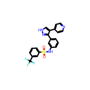 O=S(=O)(Nc1cccc(-c2n[nH]cc2-c2ccncc2)c1)c1cccc(C(F)(F)F)c1